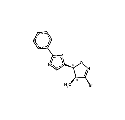 C[C@@H]1C(Br)=NO[C@@H]1c1cnc(-c2ccccc2)s1